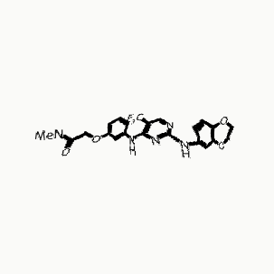 CNC(=O)COc1cccc(Nc2nc(Nc3ccc4c(c3)OCCO4)ncc2C(F)(F)F)c1